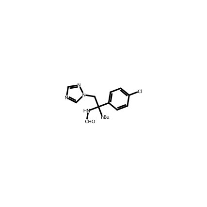 CCCCC(Cn1cncn1)(NC=O)c1ccc(Cl)cc1